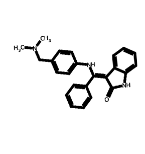 CN(C)Cc1ccc(NC(=C2C(=O)Nc3ccccc32)c2ccccc2)cc1